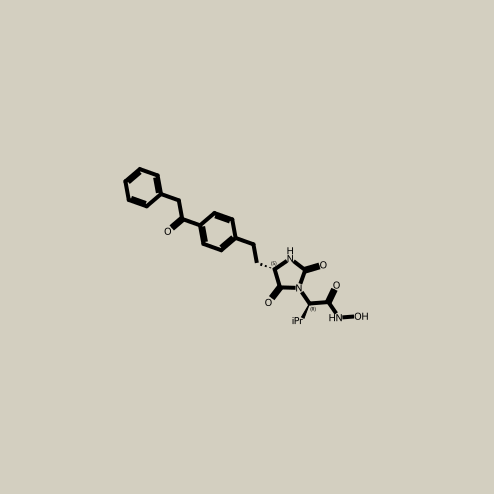 CC(C)[C@H](C(=O)NO)N1C(=O)N[C@@H](CCc2ccc(C(=O)Cc3ccccc3)cc2)C1=O